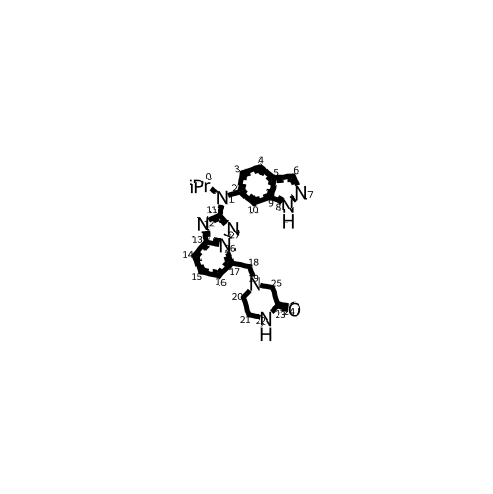 CC(C)N(c1ccc2cn[nH]c2c1)c1nc2cccc(CN3CCNC(=O)C3)n2n1